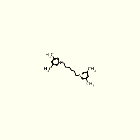 Cc1cc(C)c[n+](CCCCCC[n+]2cc(C)cc(C)c2)c1